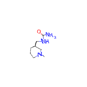 CN1CCCC(CNC(N)=O)C1